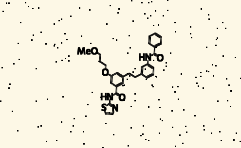 COCCCOc1cc(CCc2cccc(NC(=O)c3ccccc3)c2)cc(C(=O)Nc2nccs2)c1